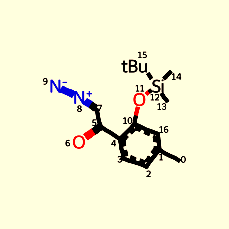 Cc1ccc(C(=O)C=[N+]=[N-])c(O[Si](C)(C)C(C)(C)C)c1